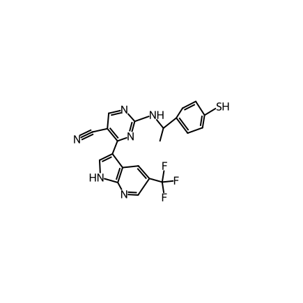 CC(Nc1ncc(C#N)c(-c2c[nH]c3ncc(C(F)(F)F)cc23)n1)c1ccc(S)cc1